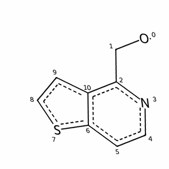 [O]Cc1nccc2sccc12